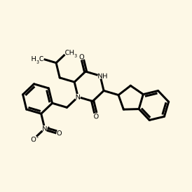 CC(C)CC1C(=O)NC(C2Cc3ccccc3C2)C(=O)N1Cc1ccccc1[N+](=O)[O-]